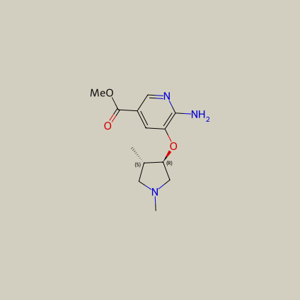 COC(=O)c1cnc(N)c(O[C@H]2CN(C)C[C@@H]2C)c1